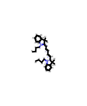 CCCCN1\C(=C/C=C/C=C/C2=[N+](CCCC)c3ccccc3C2(C)C)C(C)(C)c2ccccc21